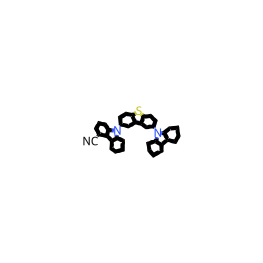 N#Cc1cccc2c1c1ccccc1n2-c1ccc2sc3ccc(-n4c5ccccc5c5ccccc54)cc3c2c1